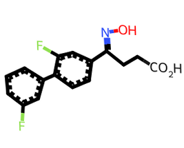 O=C(O)CCC(=NO)c1ccc(-c2cccc(F)c2)c(F)c1